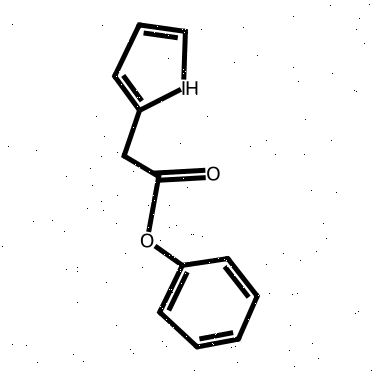 O=C(CC1=CC=C[IH]1)Oc1ccccc1